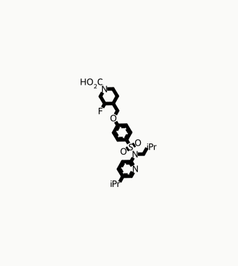 CC(C)CN(c1ccc(C(C)C)cn1)S(=O)(=O)c1ccc(OCC2CCN(C(=O)O)CC2F)cc1